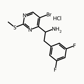 CSc1ncc(Br)c(C(N)Cc2cc(F)cc(F)c2)n1.Cl